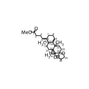 COC(=O)CCC=C1CCC=C2[C@@]1(C)CC[C@H]1C(C)(C)C3(CC[C@]21C)OCCO3